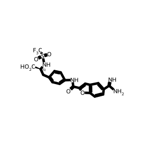 N=C(N)c1ccc2oc(C(=O)Nc3ccc(C[C@H](NS(=O)(=O)C(F)(F)F)C(=O)O)cc3)cc2c1